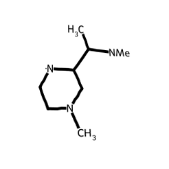 CNC(C)C1CN(C)CC[N]1